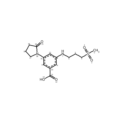 CS(=O)(=O)CCCNc1cc(C(=O)O)cc(N2CCCC2=O)c1